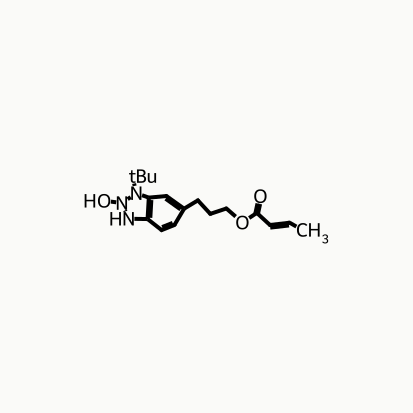 CC=CC(=O)OCCCc1ccc2c(c1)N(C(C)(C)C)N(O)N2